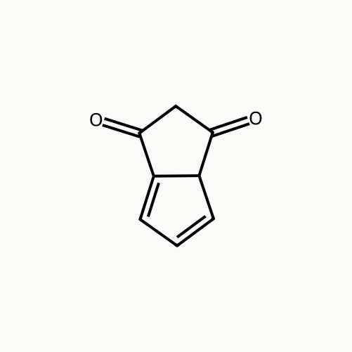 O=C1CC(=O)C2C=CC=C12